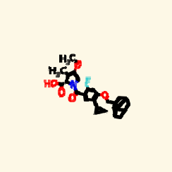 CO[C@@H]1CN(C(=O)c2cc(C3CC3)c(OCC34CC5CC(CC(C5)C3)C4)cc2F)[C@H](C(=O)O)[C@H]1C